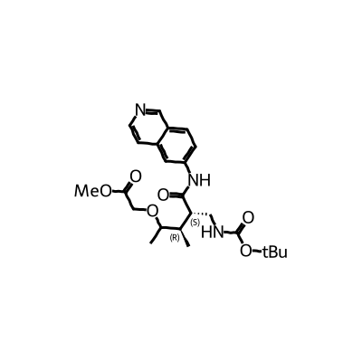 COC(=O)COC(C)[C@H](C)[C@@H](CNC(=O)OC(C)(C)C)C(=O)Nc1ccc2cnccc2c1